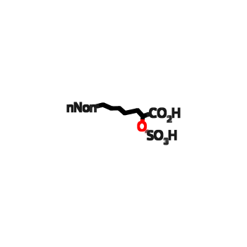 CCCCCCCCCCCCCCC(OS(=O)(=O)O)C(=O)O